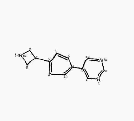 c1ncc(-c2ccc(C3CNC3)cc2)cn1